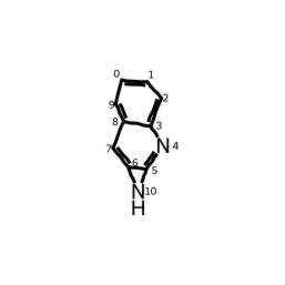 c1ccc2nc3c(cc2c1)N3